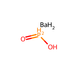 O=[PH2]O.[BaH2]